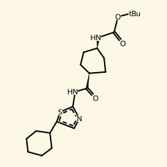 CC(C)(C)OC(=O)N[C@H]1CC[C@@H](C(=O)Nc2ncc(C3CCCCC3)s2)CC1